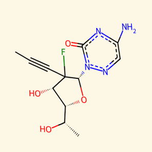 CC#CC1(F)[C@@H](O)[C@@H]([C@H](C)O)O[C@H]1n1ncc(N)nc1=O